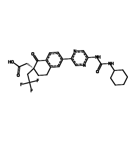 O=C(O)C[C@@]1(CC(F)(F)F)CCc2cc(-c3cnc(NC(=O)NC4CCCCC4)cn3)ccc2C1=O